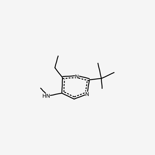 CCc1nc(C(C)(C)C)ncc1NC